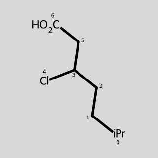 CC(C)CCC(Cl)CC(=O)O